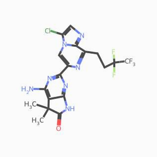 CC1(C)C(=O)Nc2nc(-c3cn4c(Cl)cnc4c(CCC(F)(F)C(F)(F)F)n3)nc(N)c21